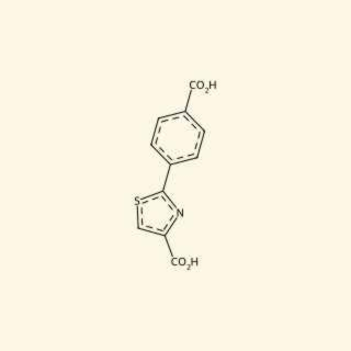 O=C(O)c1ccc(-c2nc(C(=O)O)cs2)cc1